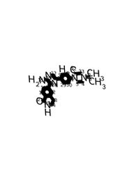 CC(C)N1CCN(c2ccc(-c3cnc(N)c(-c4ccc5c(c4)CCNC5=O)n3)cc2)[C@H](C)C1